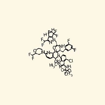 Cn1nc(NS(C)(=O)=O)c2c(Cl)ccc(N3C([C@H](Cc4cc(F)cc(F)c4)NC(=O)Cn4nc(C(F)F)c5c4C(F)(F)[C@@H]4C[C@H]54)=Nc4nc(N5CCOC(C(F)F)C5)ccc4C3O)c21